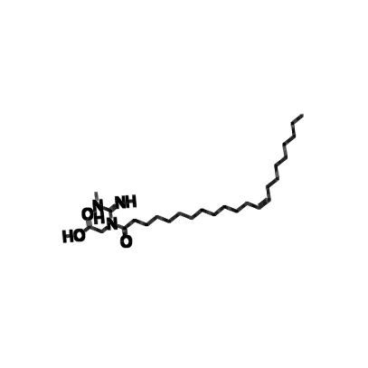 CCCCCCCC/C=C\CCCCCCCCCCCC(=O)N(CC(=O)O)C(=N)NC